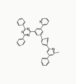 Cc1cc(-c2ccccc2)cc(-c2ccc(-c3cc(-c4ccccn4)cc(-c4nc(-c5ccccc5)nc(-c5ccccc5)n4)c3)cc2)n1